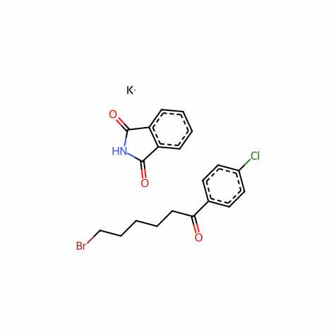 O=C(CCCCCBr)c1ccc(Cl)cc1.O=C1NC(=O)c2ccccc21.[K]